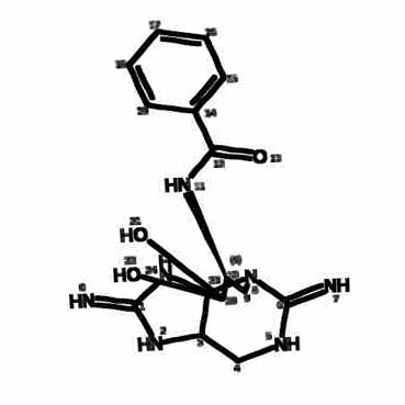 N=C1NC2CNC(=N)N3C[C@H](NC(=O)c4ccccc4)C(O)(O)C23N1